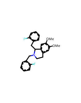 COc1cc2c(cc1OC)C(Cc1ccccc1F)N(Cc1ccccc1F)CC2